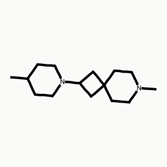 CC1CCN(C2CC3(CCN(C)CC3)C2)CC1